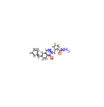 NC(=O)c1sccc1Cn1ncc2cc(Sc3ccccc3)ccc2c1=O